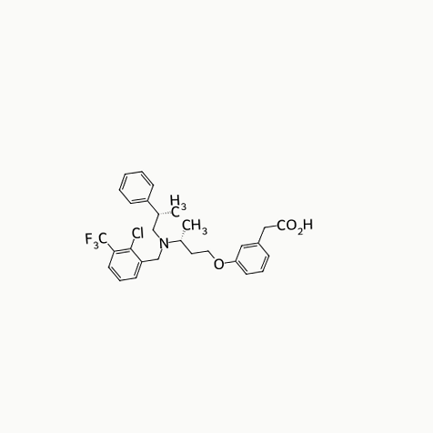 C[C@H](CN(Cc1cccc(C(F)(F)F)c1Cl)[C@H](C)CCOc1cccc(CC(=O)O)c1)c1ccccc1